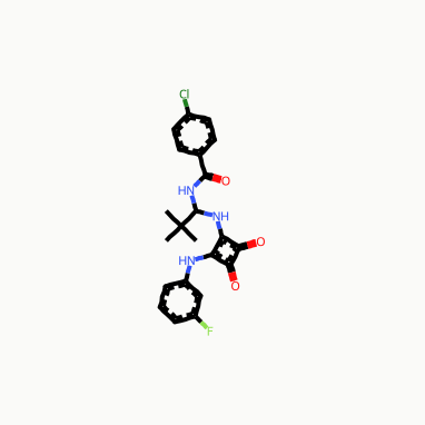 CC(C)(C)C(NC(=O)c1ccc(Cl)cc1)Nc1c(Nc2cccc(F)c2)c(=O)c1=O